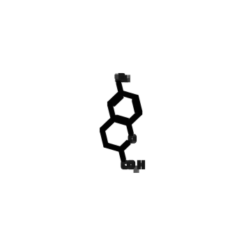 CC(C)(C)c1ccc2c(c1)CCC(C(=O)O)O2